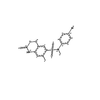 Cc1cc2c(cc1S(=O)(=O)N(C)c1ccc(Br)cc1)OCC(=O)N2